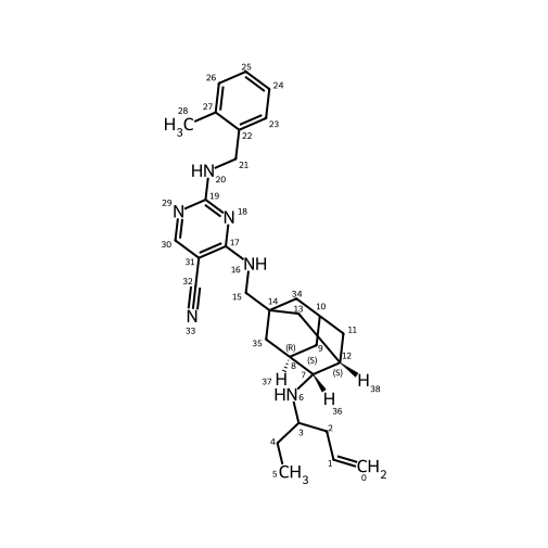 C=CCC(CC)N[C@@H]1[C@@H]2CC3C[C@H]1CC(CNc1nc(NCc4ccccc4C)ncc1C#N)(C3)C2